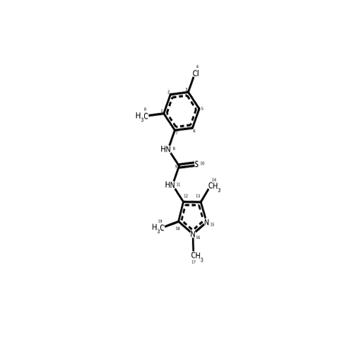 Cc1cc(Cl)ccc1NC(=S)Nc1c(C)nn(C)c1C